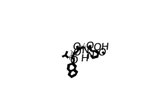 COc1ccnc(C(=O)N[C@@H](C)C(=O)O[C@@H](C)[C@@H](CC(C)C)Oc2ccc3ccccc3c2)c1O